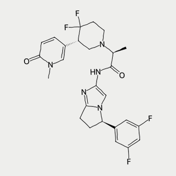 C[C@@H](C(=O)Nc1cn2c(n1)CC[C@@H]2c1cc(F)cc(F)c1)N1CCC(F)(F)[C@@H](c2ccc(=O)n(C)c2)C1